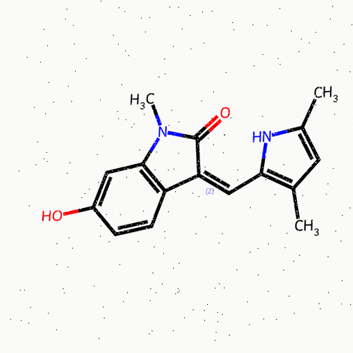 Cc1cc(C)c(/C=C2\C(=O)N(C)c3cc(O)ccc32)[nH]1